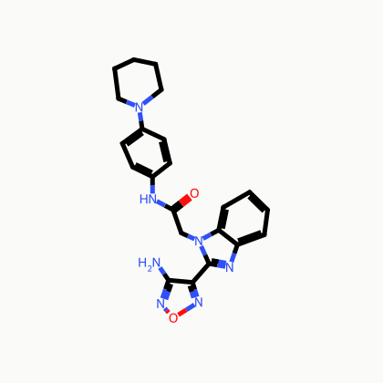 Nc1nonc1-c1nc2ccccc2n1CC(=O)Nc1ccc(N2CCCCC2)cc1